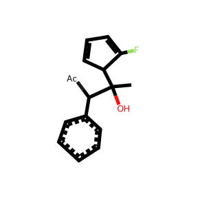 CC(=O)C(c1ccccc1)C(C)(O)C1C=CC=C1F